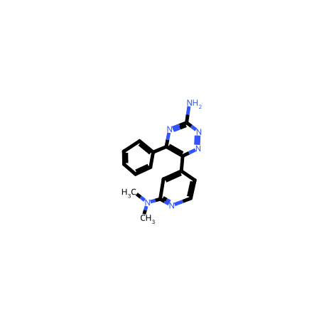 CN(C)c1cc(-c2nnc(N)nc2-c2ccccc2)ccn1